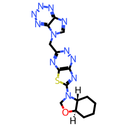 c1nc2nnnnc2n1Cc1nnc2nc(N3CO[C@@H]4CCCC[C@H]43)sc2n1